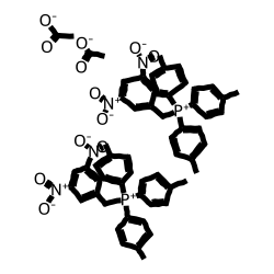 CC(=O)[O-].CC(=O)[O-].Cc1ccc([P+](Cc2cc([N+](=O)[O-])cc([N+](=O)[O-])c2)(c2ccc(C)cc2)c2ccc(C)cc2)cc1.Cc1ccc([P+](Cc2cc([N+](=O)[O-])cc([N+](=O)[O-])c2)(c2ccc(C)cc2)c2ccc(C)cc2)cc1